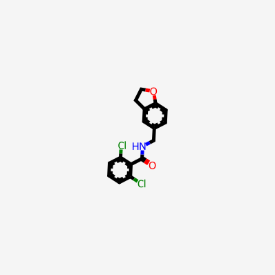 O=C(NCc1ccc2c(c1)CCO2)c1c(Cl)cccc1Cl